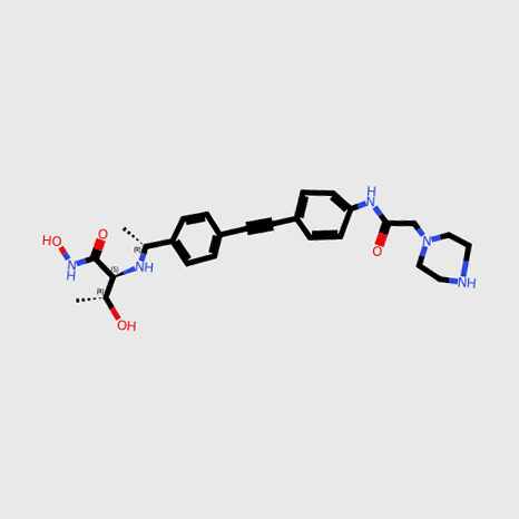 C[C@@H](N[C@H](C(=O)NO)[C@@H](C)O)c1ccc(C#Cc2ccc(NC(=O)CN3CCNCC3)cc2)cc1